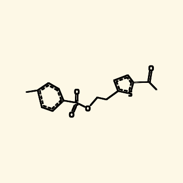 CC(=O)c1ccc(CCOS(=O)(=O)c2ccc(C)cc2)s1